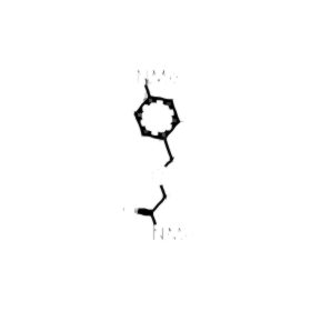 CNC(=O)COCc1ccc(NC)cc1